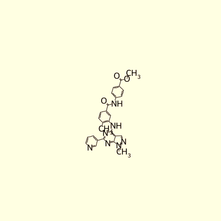 COC(=O)c1ccc(NC(=O)c2ccc(C)c(Nc3nc(-c4cccnc4)nc4c3cnn4C)c2)cc1